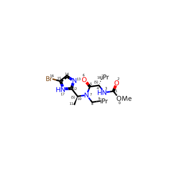 COC(=O)N[C@H](C(=O)N(CC(C)C)[C@@H](C)c1ncc(Br)[nH]1)C(C)C